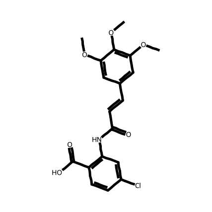 COc1cc(C=CC(=O)Nc2cc(Cl)ccc2C(=O)O)cc(OC)c1OC